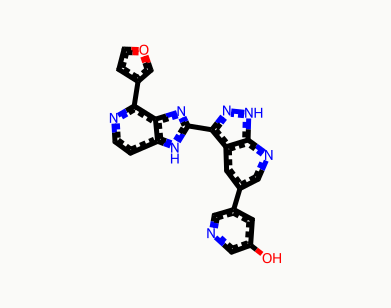 Oc1cncc(-c2cnc3[nH]nc(-c4nc5c(-c6ccoc6)nccc5[nH]4)c3c2)c1